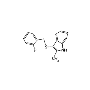 Cc1[nH]c2ccccc2c1SCc1ccccc1F